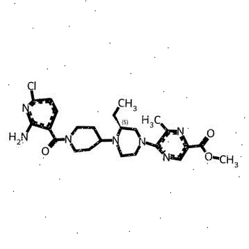 CC[C@H]1CN(c2ncc(C(=O)OC)nc2C)CCN1C1CCN(C(=O)c2ccc(Cl)nc2N)CC1